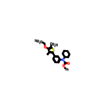 Cc1c(-c2cccc(N(C(=O)OC(C)C)C3CCCCC3)c2)sc(C(=O)O)c1OCC(=O)O